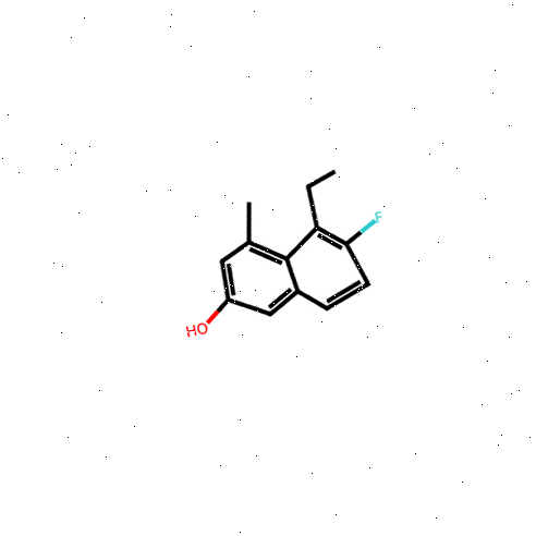 CCc1c(F)ccc2cc(O)cc(C)c12